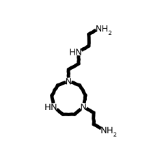 NCCNCCN1CCNCCN(CCN)CC1